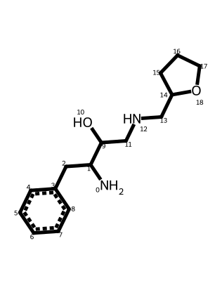 NC(Cc1ccccc1)C(O)CNCC1CCCO1